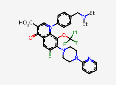 CCN(CC)Cc1ccc(-n2cc(C(=O)O)c(=O)c3cc(F)c(N4CCN(c5ccccn5)CC4)c(OC(F)(F)Cl)c32)cc1